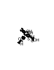 CCCCC1(CCCC)CN(c2ccc(NC(=O)C3CC3)cc2)c2cc(SC)c(O/C=C(\F)C(=O)O)cc2S(O)(O)C1